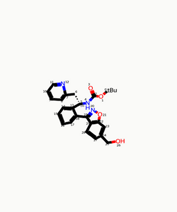 CC(C)(C)OC(=O)N[C@@H](Cc1ccccn1)c1ccccc1-c1noc2cc(CO)ccc12